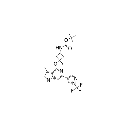 Cc1cnn2cc(-c3cnn(C(F)(F)F)c3)nc(O[C@]3(C)C[C@H](NC(=O)OC(C)(C)C)C3)c12